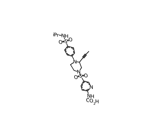 CC#CC1CN(S(=O)(=O)c2ccc(NC(=O)O)nc2)CCN1c1ccc(S(=O)(=O)NC(C)C)cc1